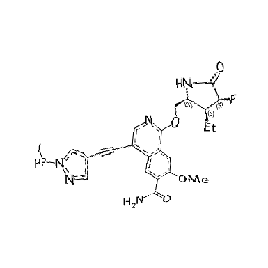 CC[C@@H]1[C@H](F)C(=O)N[C@@H]1COc1ncc(C#Cc2cnn(PI)c2)c2cc(C(N)=O)c(OC)cc12